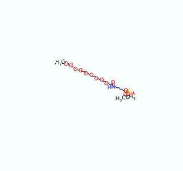 CCOCCOCCOCCOCCOCCOCCOCCOCCOCCC(=O)NCCCCCCOP(O)(=S)OC(C)C